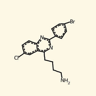 NCCCCc1nc(-c2ccc(Br)cc2)nc2ccc(Cl)cc12